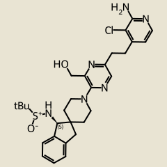 CC(C)(C)[S+]([O-])N[C@@H]1c2ccccc2CC12CCN(c1ncc(CCc3ccnc(N)c3Cl)nc1CO)CC2